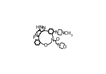 CN1CCN(c2ccc3cc2CN(C(=O)CN2CCOCC2)CCOCc2cccc(F)c2-c2cc4c-3n[nH]c4cn2)CC1